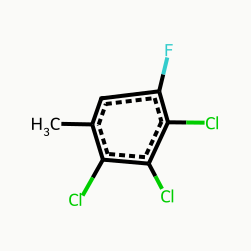 Cc1cc(F)c(Cl)c(Cl)c1Cl